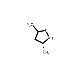 CC1C[C@@H](C)NS1